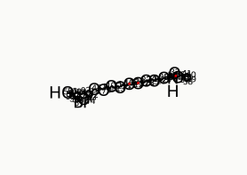 Cc1cc(OCCOCCOCCOCCOCCOCCOCCOCCOCCNC(=O)OCc2ccccc2)cc(C)c1Oc1ccc(C(C)(C)O)cc1Br